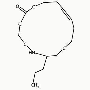 CCCC1CCCCC=CCCCC(=O)OCCN1